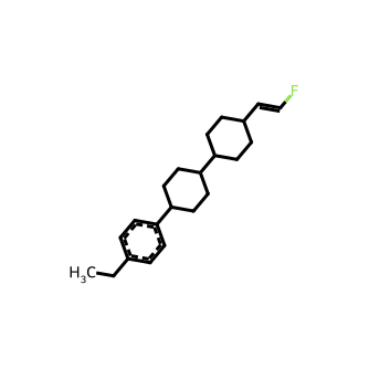 CCc1ccc(C2CCC(C3CCC(C=CF)CC3)CC2)cc1